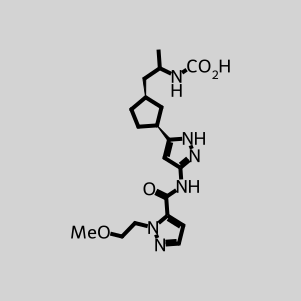 COCCn1nccc1C(=O)Nc1cc([C@H]2CC[C@@H](CC(C)NC(=O)O)C2)[nH]n1